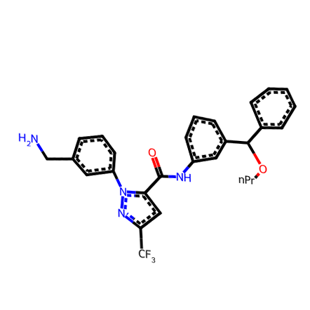 CCCOC(c1ccccc1)c1cccc(NC(=O)c2cc(C(F)(F)F)nn2-c2cccc(CN)c2)c1